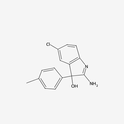 Cc1ccc(C2(O)C(N)=Nc3ccc(Cl)cc32)cc1